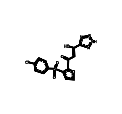 O=C(C=C(O)c1nn[nH]n1)c1occc1S(=O)(=O)c1ccc(Cl)cc1